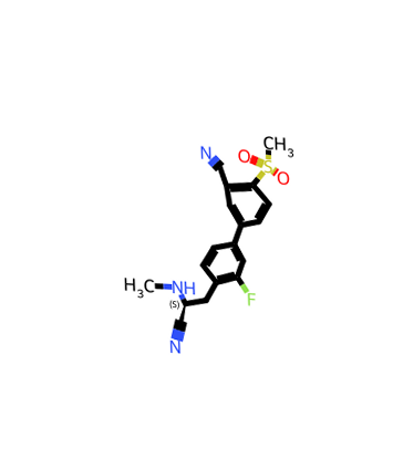 CN[C@H](C#N)Cc1ccc(-c2ccc(S(C)(=O)=O)c(C#N)c2)cc1F